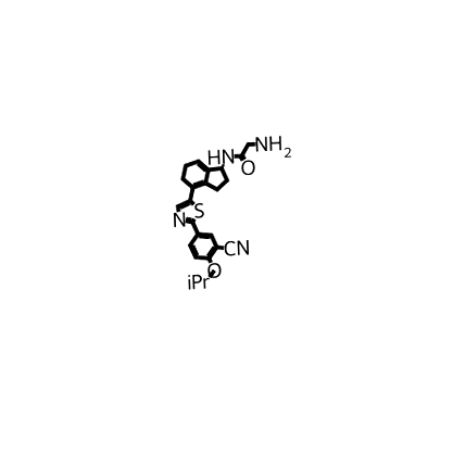 CC(C)Oc1ccc(-c2ncc(C3=C4CC[C@H](NC(=O)CN)C4=CCC3)s2)cc1C#N